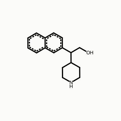 OCC(c1ccc2ccccc2c1)C1CCNCC1